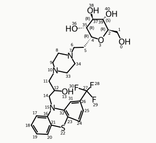 OC[C@H]1O[C@H](CCN2CCN(CC(O)CN3c4ccccc4Sc4ccc(C(F)(F)F)cc43)CC2)[C@H](O)[C@@H](O)[C@@H]1O